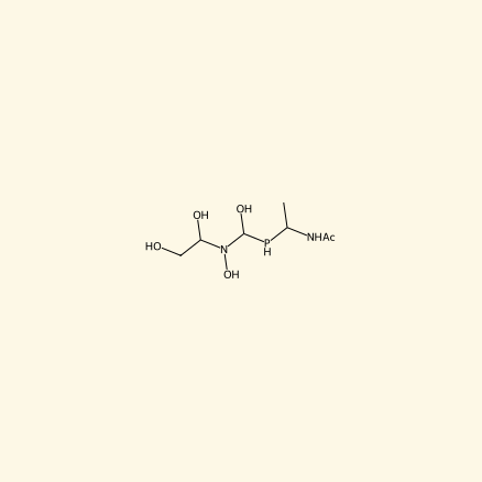 CC(=O)NC(C)PC(O)N(O)C(O)CO